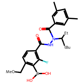 CCC(N(NC(=O)c1ccc(COC)c(B(O)O)c1F)C(=O)c1cc(C)cc(C)c1)C(C)(C)C